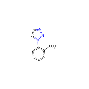 O=C(O)c1ccccc1-n1ccnn1